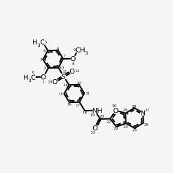 COc1cc(C)cc(OC)c1S(=O)(=O)c1ccc(CNC(=O)c2cc3ccncc3o2)cc1